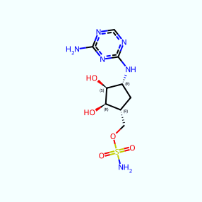 Nc1ncnc(N[C@@H]2C[C@H](COS(N)(=O)=O)[C@@H](O)[C@H]2O)n1